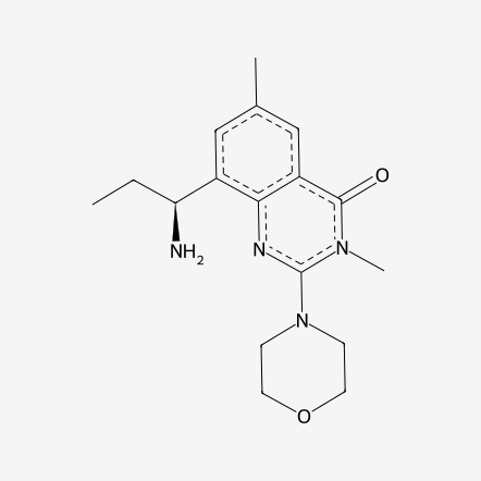 CC[C@H](N)c1cc(C)cc2c(=O)n(C)c(N3CCOCC3)nc12